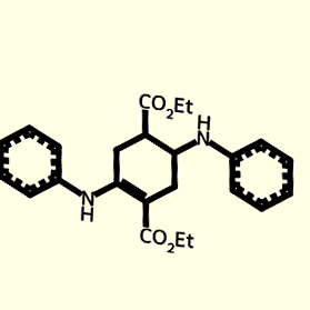 CCOC(=O)C1=C(Nc2ccccc2)CC(C(=O)OCC)C(Nc2ccccc2)C1